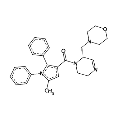 Cc1cc(C(=O)N2CCN=C[C@H]2CN2CCOCC2)c(-c2ccccc2)n1-c1ccccc1